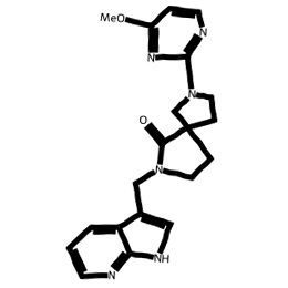 COc1ccnc(N2CCC3(CCN(Cc4c[nH]c5ncccc45)C3=O)C2)n1